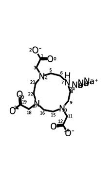 O=C([O-])CN1CCNCCN(CC(=O)[O-])CCN(CC(=O)[O-])CC1.[Na+].[Na+].[Na+]